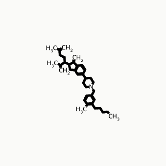 C=C(C)CCC(C(=C)C)C1Cc2cc(C3CCN(Cc4ccc(C)c(CCCCC)c4)CC3)ccc2C1=C